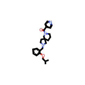 CC(C)COc1ccccc1CN1CCC2(CCCN(C(=O)c3ccncc3)C2)C1